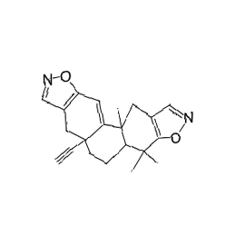 C#CC12CCC3C(C)(Cc4cnoc4C3(C)C)C1=Cc1oncc1C2